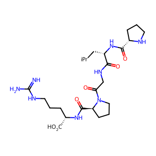 CC(C)C[C@H](NC(=O)[C@@H]1CCCN1)C(=O)NCC(=O)N1CCC[C@H]1C(=O)N[C@@H](CCCNC(=N)N)C(=O)O